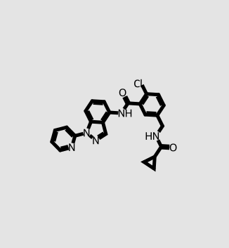 O=C(Nc1cccc2c1cnn2-c1ccccn1)c1cc(CNC(=O)C2CC2)ccc1Cl